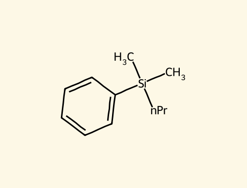 [CH2]CC[Si](C)(C)c1ccccc1